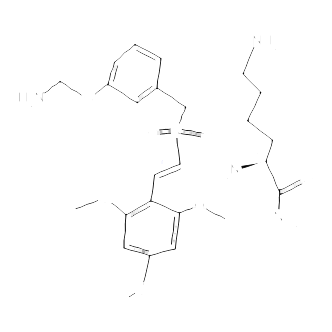 COc1cc(OC)c(/C=C/S(=O)(=O)Cc2cccc(OCN)c2)c(OC)c1.NCCCC[C@H](N)C(N)=O